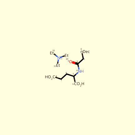 CCCCCCCCCCCC(=O)NC(CCC(=O)O)C(=O)O.CCN(CC)CC